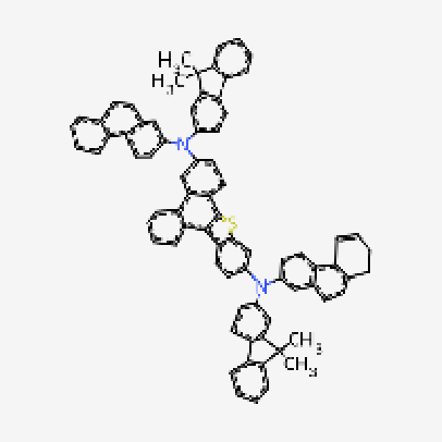 CC1(C)c2ccccc2-c2ccc(N(c3ccc4c5c(ccc4c3)CCC=C5)c3ccc4c(c3)sc3c5ccc(N(c6ccc7c(c6)C(C)(C)c6ccccc6-7)c6ccc7c(ccc8ccccc87)c6)cc5c5ccccc5c43)cc21